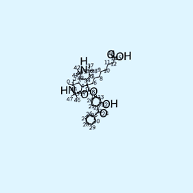 CC1(C)CC(C(CCCCCCCC(=O)O)(C(=O)Oc2ccc(C(=O)c3ccccc3)c(O)c2)C2CC(C)(C)NC(C)(C)C2)CC(C)(C)N1